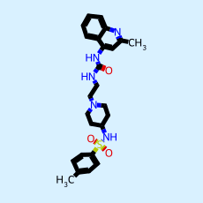 Cc1ccc(S(=O)(=O)NC2CCN(CCNC(=O)Nc3cc(C)nc4ccccc34)CC2)cc1